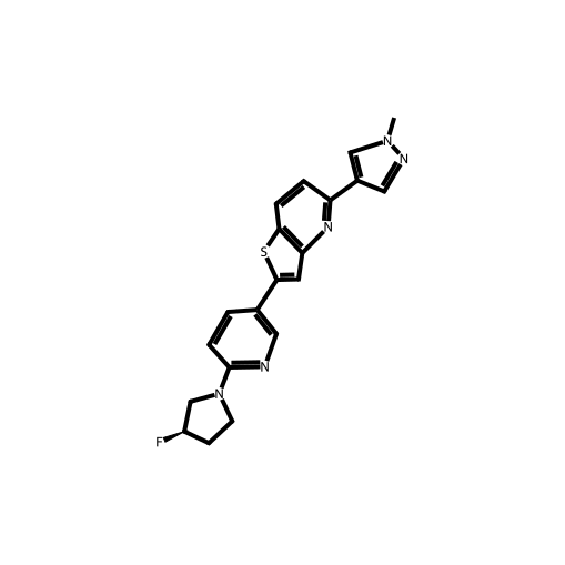 Cn1cc(-c2ccc3sc(-c4ccc(N5CC[C@@H](F)C5)nc4)cc3n2)cn1